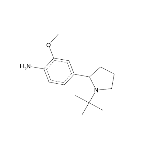 COc1cc(C2CCCN2C(C)(C)C)ccc1N